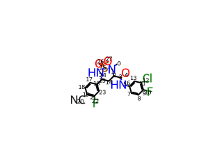 CN1C(C(=O)Nc2ccc(F)c(Cl)c2)CC(c2ccc(C#N)c(F)c2)NS1(=O)=O